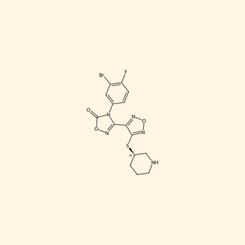 O=c1onc(-c2nonc2S[C@@H]2CCCNC2)n1-c1ccc(F)c(Br)c1